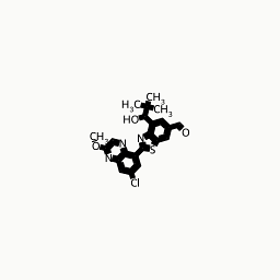 COc1cnc2c(-c3nc4c(C(O)C(C)(C)C)cc(C=O)cc4s3)cc(Cl)cc2n1